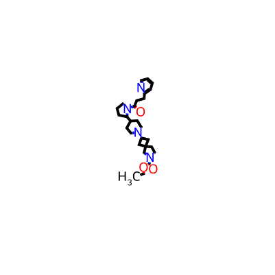 CCOC(=O)N1CCC2(CC(N3CCC(C4CCCN4C(=O)CCc4ccccn4)CC3)C2)C1